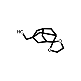 OCC12CC3CC(C1)C1(OCCO1)C(C3)C2